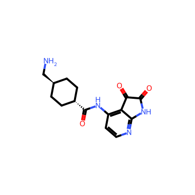 NC[C@H]1CC[C@H](C(=O)Nc2ccnc3c2C(=O)C(=O)N3)CC1